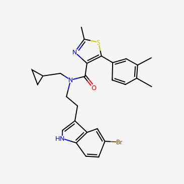 Cc1nc(C(=O)N(CCc2c[nH]c3ccc(Br)cc23)CC2CC2)c(-c2ccc(C)c(C)c2)s1